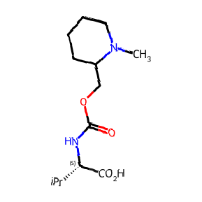 CC(C)[C@H](NC(=O)OCC1CCCCN1C)C(=O)O